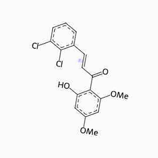 COc1cc(O)c(C(=O)/C=C/c2cccc(Cl)c2Cl)c(OC)c1